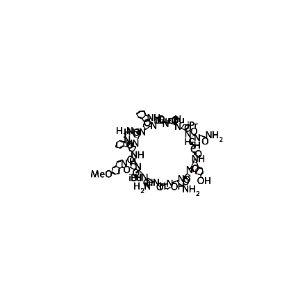 CCCC[C@H]1C(=O)N(C)[C@@H](CCCC)C(=O)N[C@@H](CC(C)C)C(=O)N[C@H](C(=O)NCC(N)=O)CSCC(=O)N[C@@H](Cc2ccc(O)cc2)C(=O)N(C)[C@@H](C)C(=O)N[C@@H](CC(N)=O)C(=O)N2CCC[C@H]2C(=O)N[C@@H](CN)C(=O)N[C@@H](C(C)CC)C(=O)N2C[C@H](Oc3nccc4cc(OC)ccc34)C[C@H]2C(=O)N[C@@H](Cc2c[nH]c3ccccc23)C(=O)N[C@@H](CCN)C(=O)N[C@@H](Cc2c[nH]c3ccccc23)C(=O)N1C